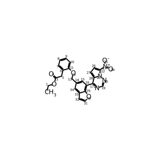 CCOC(=O)Cc1ccccc1OCc1cc(-c2ncnn3c([N+](=O)[O-])ccc23)c2occc2c1